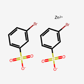 O=S(=O)([O-])c1cccc(Br)c1.O=S(=O)([O-])c1cccc(Br)c1.[Zn+2]